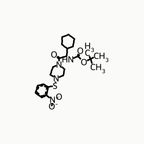 CC(C)(C)OC(=O)NC(C(=O)N1CCN(Sc2ccccc2[N+](=O)[O-])CC1)C1CCCCC1